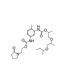 CCC(C)OCC(C)OCC(C)OC(=O)Nc1cc(NC(=O)OCCN2CCCC2=O)ccc1C